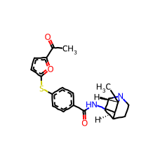 CC(=O)c1ccc(Sc2ccc(C(=O)N[C@@H]3C4CCN(CC4)[C@H]3C)cc2)o1